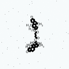 C[C@@H]1CC2=CC(=O)CCC2C2C1C1CC[C@H](OC(=O)CCCC(=O)OCC(O)[C@@]3(O)[C@@H](C)CC4C5CCC6=CC(=O)C=C[C@]6(C)[C@@]5(F)[C@@H](O)C[C@@]43C)[C@@]1(C)C[C@@H]2C